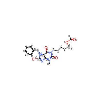 CC(=O)O[C@H](C)CCCCn1c(=O)c2c(nc(Br)n2Cc2ccccc2)n(C)c1=O